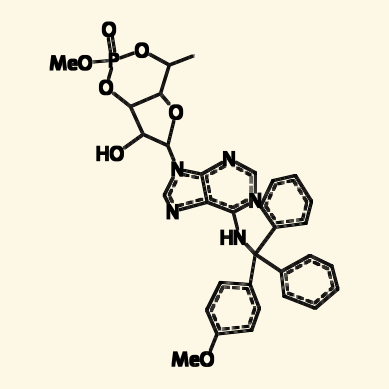 COc1ccc(C(Nc2ncnc3c2ncn3C2OC3C(C)OP(=O)(OC)OC3C2O)(c2ccccc2)c2ccccc2)cc1